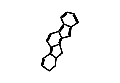 C1=CC2=c3ccc4c(c3CC2CC1)C=c1ccccc1=4